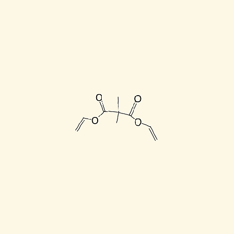 C=COC(=O)C(C)(C)C(=O)OC=C